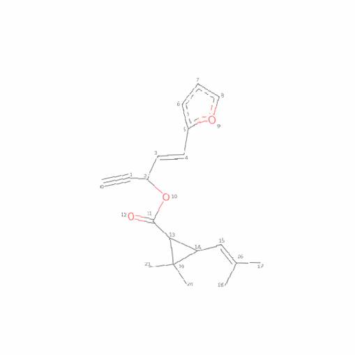 C#CC(C=Cc1ccco1)OC(=O)C1C(C=C(C)C)C1(C)C